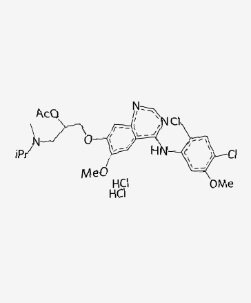 COc1cc(Nc2ncnc3cc(OCC(CN(C)C(C)C)OC(C)=O)c(OC)cc23)c(Cl)cc1Cl.Cl.Cl